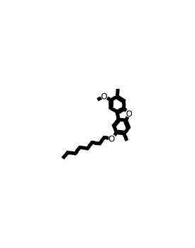 CCCCCCCCOc1cc2c(cc1C)oc1cc(C)c(OC)cc12